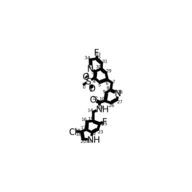 CS(=O)(=O)c1cc(Cc2cc(C(=O)NCc3cc4c(Cl)c[nH]c4cc3F)ccn2)cc2cc(F)cnc12